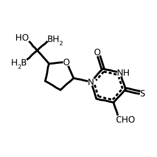 BC(B)(O)C1CCC(n2cc(C=O)c(=S)[nH]c2=O)O1